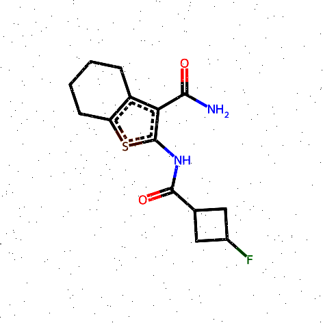 NC(=O)c1c(NC(=O)C2CC(F)C2)sc2c1CCCC2